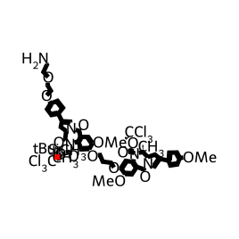 COc1ccc(C2=CN3C(=O)c4cc(OC)c(OCCCOc5cc6c(cc5OC)C(=O)N5C=C(c7ccc(OCCOCCN)cc7)CC5[C@@H](O[Si](C)(C)C(C)(C)C)N6C(=O)OCC(Cl)(Cl)Cl)cc4N(C(=O)OCC(Cl)(Cl)Cl)[C@H](C)C3C2)cc1